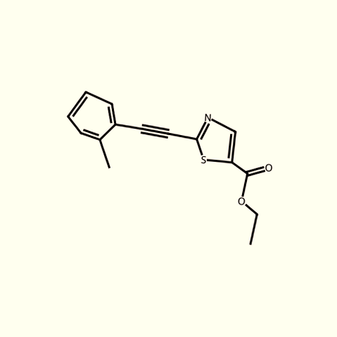 CCOC(=O)c1cnc(C#Cc2ccccc2C)s1